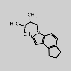 C[C@H](Cn1ccc2c3c(ccc21)CCC3)N(C)C